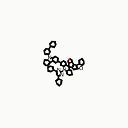 c1ccc(-c2cccc(-n3c4ccccc4c4cc(-c5ccc6c(c5)N(c5nc(-c7ccccc7)cc(-c7ccccc7)n5)c5ccccc5C65c6ccccc6-c6c5ccc5oc7ccccc7c65)ccc43)c2)cc1